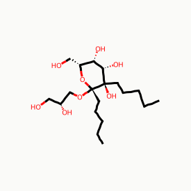 CCCCC[C@@]1(OC[C@H](O)CO)O[C@H](CO)[C@H](O)[C@H](O)[C@]1(O)CCCCC